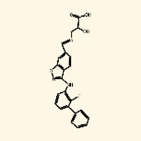 O=C(O)C(O)CN=Cc1ccc2c(Nc3cccc(-c4ccccc4)c3Cl)noc2c1